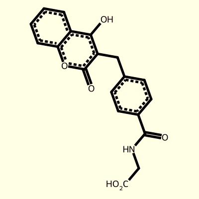 O=C(O)CNC(=O)c1ccc(Cc2c(O)c3ccccc3oc2=O)cc1